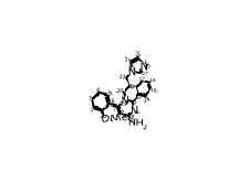 COc1ccccc1C1=CC(N)=NC(c2ccccc2)N1CCCn1ccnc1